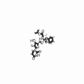 CC(C)OC(=O)[C@H](C)NP(=O)(OC[C@H]1O[C@@H](n2ccc(=O)[nH]c2=S)[C@@H](C)C1O)Oc1ccccc1